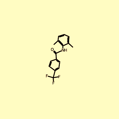 Cc1cccc(C)c1NC(=O)c1ccc(C(F)(F)F)cc1